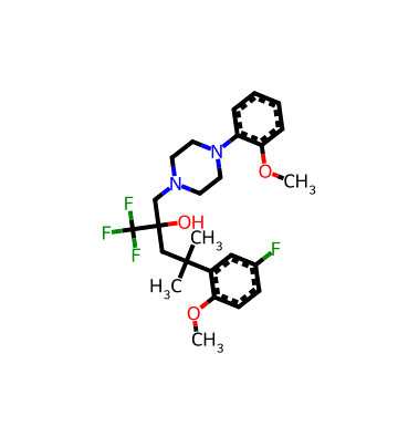 COc1ccccc1N1CCN(CC(O)(CC(C)(C)c2cc(F)ccc2OC)C(F)(F)F)CC1